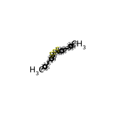 Cc1ccc(/C=C/c2ccc3cc(Sc4cc5ccc(/C=C/c6ccc(C)cc6)cc5s4)sc3c2)cc1